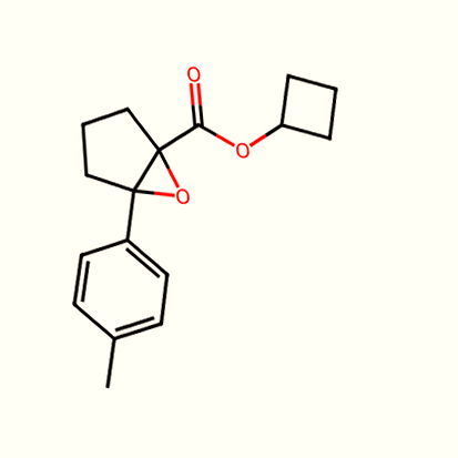 Cc1ccc(C23CCCC2(C(=O)OC2CCC2)O3)cc1